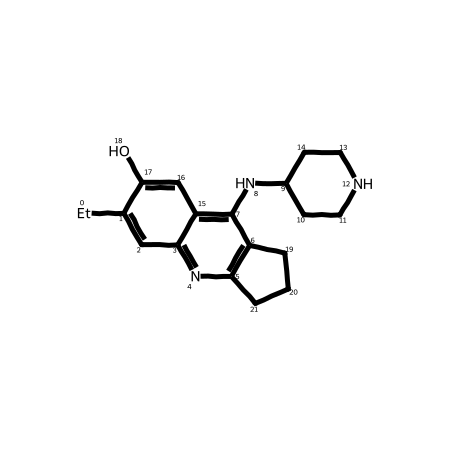 CCc1cc2nc3c(c(NC4CCNCC4)c2cc1O)CCC3